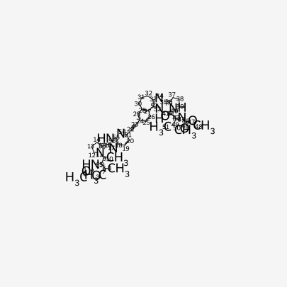 COC(=O)N[C@@H](C(C)C)C(C)N1CCC[C@H]1c1nc2ccc(C#Cc3ccc4c(c3)CCCc3nc([C@@H]5CCCN5C(=O)[C@@H](NC(=O)OC)C(C)C)[nH]c3-4)nc2[nH]1